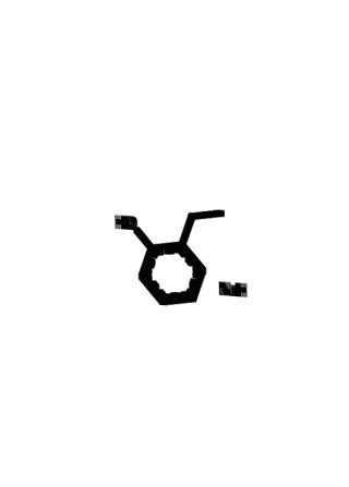 CCc1ccccc1O.[NaH]